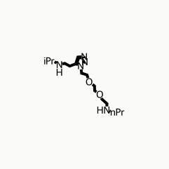 CCCNCCOCCOCCn1nncc1CCNC(C)C